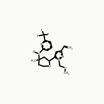 C=Cc1cc(C2CC(C)([S+]([O-])c3cccc(C(F)(F)F)n3)CCO2)n(COC)n1